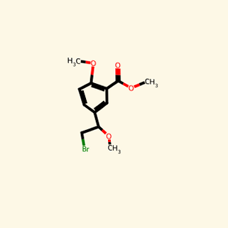 COC(=O)c1cc(C(CBr)OC)ccc1OC